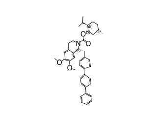 COc1cc2c(cc1OC)[C@@H](Cc1ccc(-c3ccc(-c4ccccc4)cc3)cc1)N(C(=O)O[C@H]1C[C@@H](C)CC[C@@H]1C(C)C)CC2